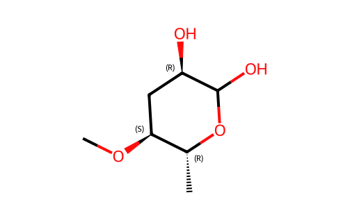 CO[C@H]1C[C@@H](O)C(O)O[C@@H]1C